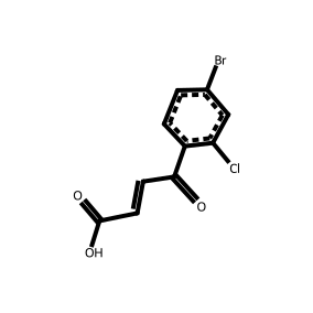 O=C(O)C=CC(=O)c1ccc(Br)cc1Cl